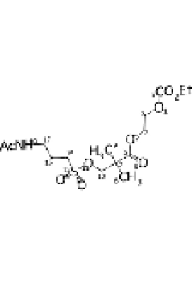 CCOC(=O)OCCOC(=O)C(C)(C)COS(=O)(=O)CCCNC(C)=O